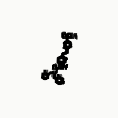 O=C(CN(Cc1ccccn1)Cc1ccccn1)Nc1ccc(/C=C/c2ccc(C(=O)O)cc2)cc1